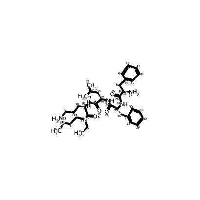 CCN(CCSC)C(=O)[C@@H](CCCN)NC(=O)[C@@H](CC(C)C)NC(=O)[C@@H](Cc1ccccc1)NC(=O)[C@H](N)Cc1ccccc1